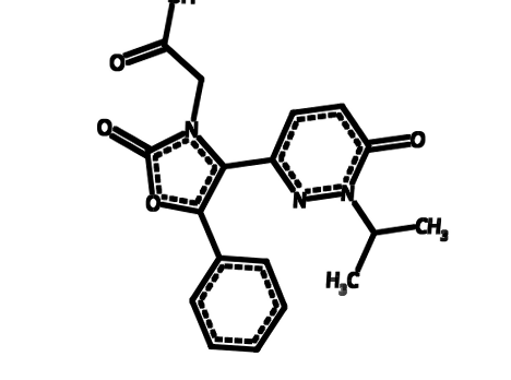 CC(C)n1nc(-c2c(-c3ccccc3)oc(=O)n2CC(=O)O)ccc1=O